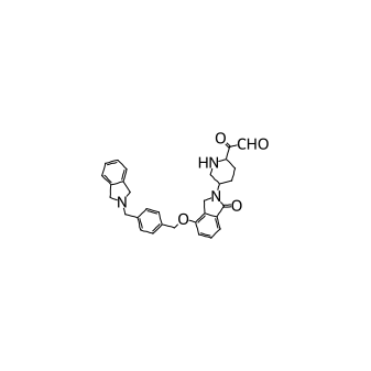 O=CC(=O)C1CCC(N2Cc3c(OCc4ccc(CN5Cc6ccccc6C5)cc4)cccc3C2=O)CN1